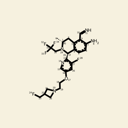 C[C@@H]1Cc2c(ccc(N)c2C=N)[C@@H](c2ncc(OCCN3CC(CF)C3)cc2F)N1CC(F)(F)F